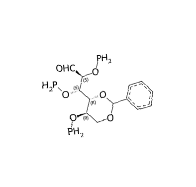 O=C[C@@H](OP)[C@@H](OP)[C@@H]1OC(c2ccccc2)OC[C@H]1OP